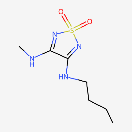 CCCCNC1=NS(=O)(=O)N=C1NC